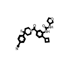 N#Cc1ccc(C2(F)CCN(C(=O)c3ccc(C4CCC4)c(NC(=O)NC4CCOC4)c3)CC2)cc1